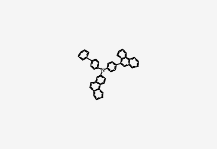 c1ccc(-c2ccc(N(c3ccc(-c4cc5ccccc5c5ccccc45)cc3)c3ccc4c(ccc5ccccc54)c3)cc2)cc1